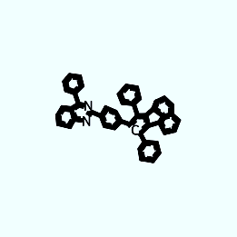 c1ccc(-c2cc(-c3ccc(-c4nc(-c5ccccc5)c5ccccc5n4)cc3)c(-c3ccccc3)c3c2-c2cccc4cccc-3c24)cc1